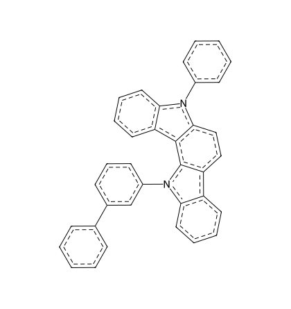 c1ccc(-c2cccc(-n3c4ccccc4c4ccc5c(c6ccccc6n5-c5ccccc5)c43)c2)cc1